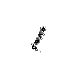 Cc1c(F)c(F)c(CNC(=O)c2cccc(C(=O)NCc3c(F)c(F)c(CNC(=O)c4cccc(C(N)=O)n4)c(F)c3F)n2)c(F)c1F